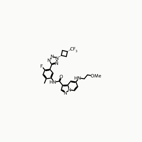 COCCNc1ccn2ncc(C(=O)Nc3cc(-c4nnn([C@H]5C[C@@H](C(F)(F)F)C5)n4)c(F)cc3C)c2c1